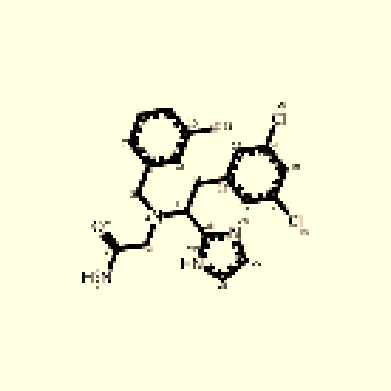 NC(=O)CN(Cc1cccc(F)c1)C(Cc1cc(Cl)cc(Cl)c1)c1ncc[nH]1